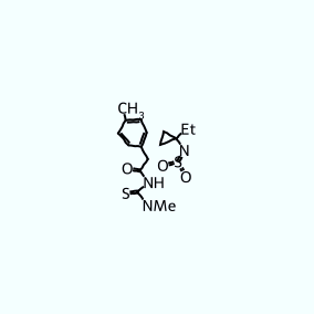 CCC1(N=S(=O)=O)CC1.CNC(=S)NC(=O)Cc1ccc(C)cc1